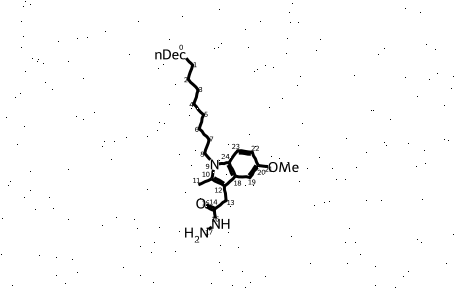 CCCCCCCCCCCCCCCCCCn1c(C)c(CC(=O)NN)c2cc(OC)ccc21